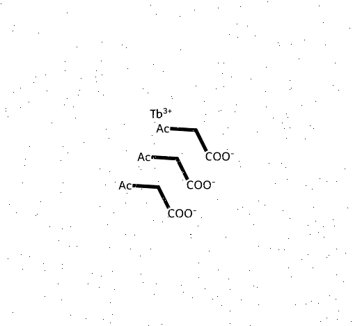 CC(=O)CC(=O)[O-].CC(=O)CC(=O)[O-].CC(=O)CC(=O)[O-].[Tb+3]